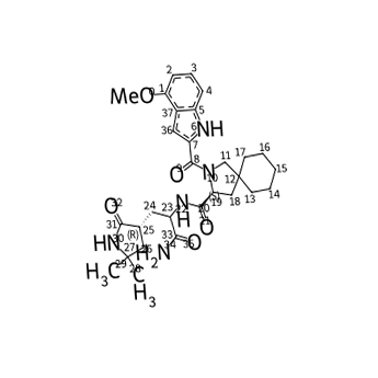 COc1cccc2[nH]c(C(=O)N3CC4(CCCCC4)C[C@H]3C(=O)NC(C[C@@H]3CC(C)(C)NC3=O)C(N)=O)cc12